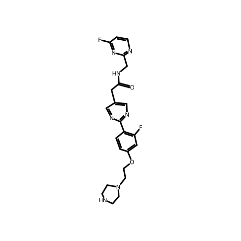 O=C(Cc1cnc(-c2ccc(OCCN3CCNCC3)cc2F)nc1)NCc1nccc(F)n1